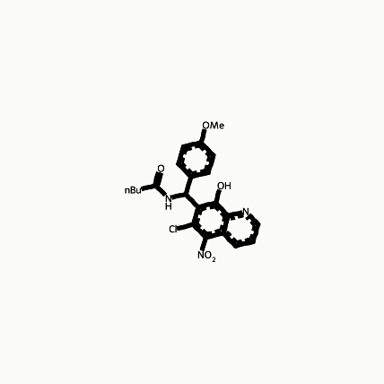 CCCCC(=O)NC(c1ccc(OC)cc1)c1c(Cl)c([N+](=O)[O-])c2cccnc2c1O